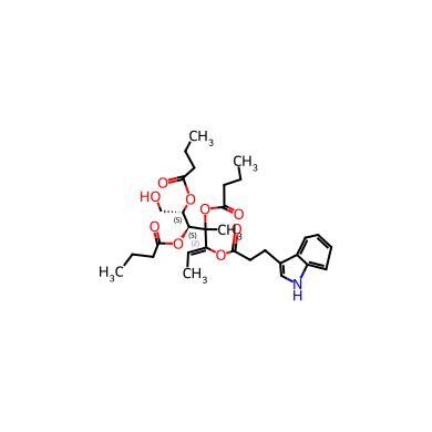 C/C=C(\OC(=O)CCc1c[nH]c2ccccc12)C(C)(OC(=O)CCC)[C@@H](OC(=O)CCC)[C@H](CO)OC(=O)CCC